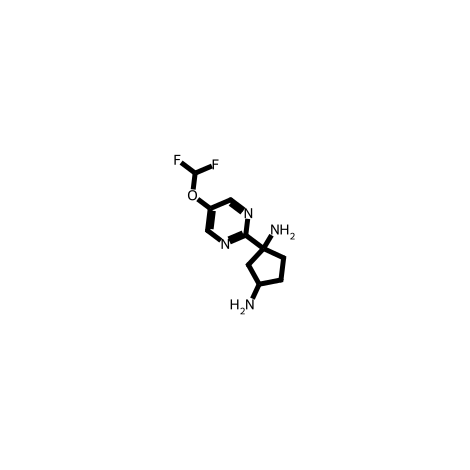 NC1CCC(N)(c2ncc(OC(F)F)cn2)C1